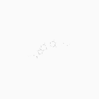 COC(=O)c1cc2cc(-c3ccc(CCOC=O)cc3)ccc2n1O